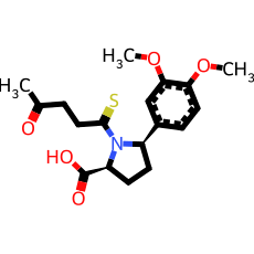 COc1ccc([C@H]2CC[C@@H](C(=O)O)N2C(=S)CCC(C)=O)cc1OC